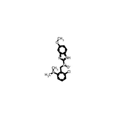 COc1ccc2[nH]c([S+]([O-])Cc3c(Cl)cccc3N(C)C)nc2c1